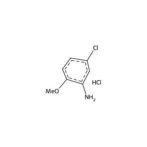 COc1ccc(Cl)cc1N.Cl